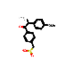 CCOC(=O)C(C(=O)c1ccc(CS(=O)O)cc1)c1ccc(OC)cc1